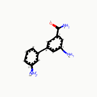 NC(=O)c1cc(N)cc(-c2cccc(N)c2)c1